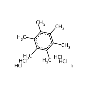 Cc1c(C)c(C)c(C)c(C)c1C.Cl.Cl.Cl.Cl.[Ti]